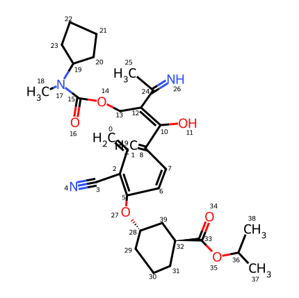 C=C/C(C#N)=C(\C=C/C(=C)/C(O)=C(\COC(=O)N(C)C1CCCC1)C(C)=N)O[C@H]1CCC[C@H](C(=O)OC(C)C)C1